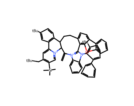 C=C1C2C(CCc3ccc4c(oc5ccccc54)c3-c3n(-c4c(-c5ccccc5)cccc4C(C)(C)C)c4ccccc4[n+]31)c1ccc(C(C)(C)C)cc1-c1cc(CC(C)(C)C)c([Si](C)(C)C)c[n+]12